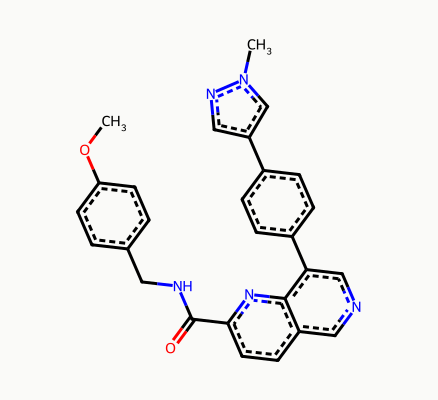 COc1ccc(CNC(=O)c2ccc3cncc(-c4ccc(-c5cnn(C)c5)cc4)c3n2)cc1